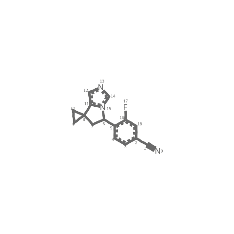 N#Cc1ccc(C2CC3(CC3)c3cncn32)c(F)c1